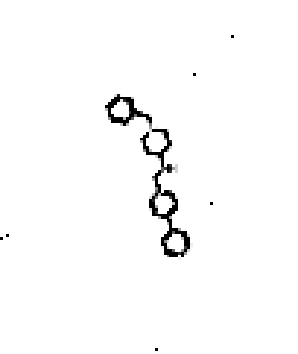 c1ccc(CN2CCC(NCc3ccc(-c4ccccc4)cc3)CC2)cc1